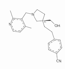 Cc1ccnc(C)c1CN1CC[C@](CO)(CCc2ccc(C#N)cc2)C1